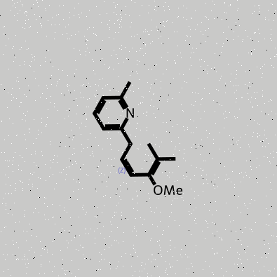 COC(/C=C\Cc1cccc(C)n1)=C(C)C